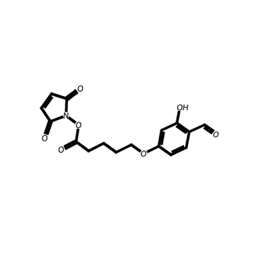 O=Cc1ccc(OCCCCC(=O)ON2C(=O)C=CC2=O)cc1O